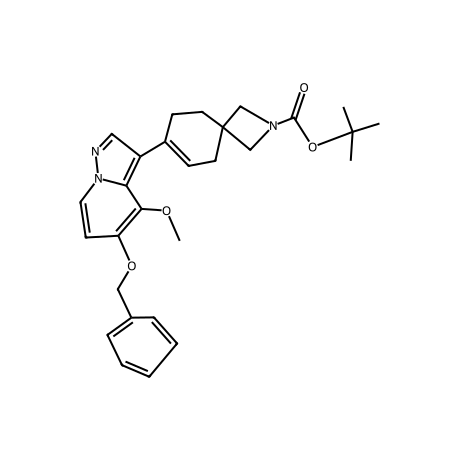 COc1c(OCc2ccccc2)ccn2ncc(C3=CCC4(CC3)CN(C(=O)OC(C)(C)C)C4)c12